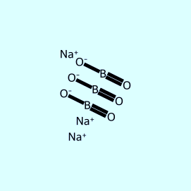 O=B[O-].O=B[O-].O=B[O-].[Na+].[Na+].[Na+]